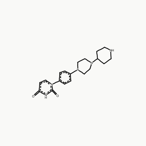 O=c1ccn(-c2ccc(N3CCN(C4CCNCC4)CC3)cc2)c(=O)[nH]1